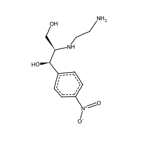 NCCN[C@H](CO)[C@H](O)c1ccc([N+](=O)[O-])cc1